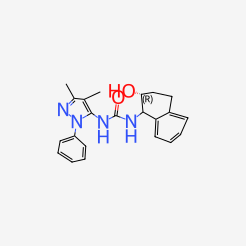 Cc1nn(-c2ccccc2)c(NC(=O)NC2c3ccccc3CC[C@H]2O)c1C